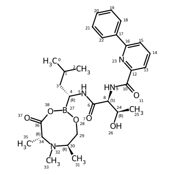 CC(C)C[C@H](NC(=O)[C@@H](NC(=O)c1cccc(-c2ccccc2)n1)[C@@H](C)O)B1OC[C@@H](C)N(C)[C@H](C)C(=O)O1